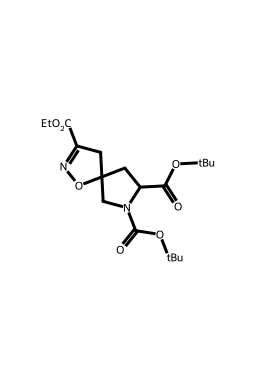 CCOC(=O)C1=NOC2(C1)CC(C(=O)OC(C)(C)C)N(C(=O)OC(C)(C)C)C2